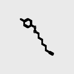 C#CCCCCCCOSc1ccc(C)cc1